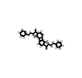 CC1C2=C(SC1CCc1ccccc1)C1c3ccc4c(c3C1C=C2)SC(CCc1ccccc1)C4C